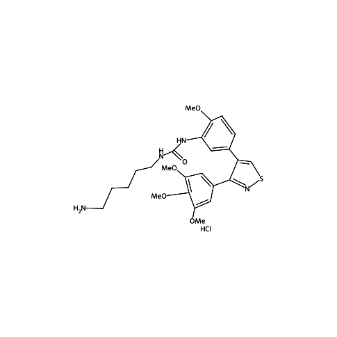 COc1ccc(-c2csnc2-c2cc(OC)c(OC)c(OC)c2)cc1NC(=O)NCCCCCN.Cl